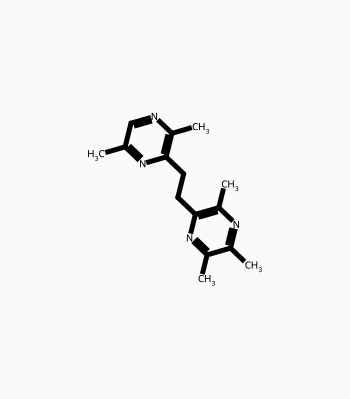 Cc1cnc(C)c(CCc2nc(C)c(C)nc2C)n1